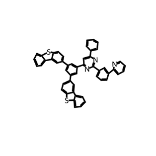 c1ccc(-c2cc(-c3cc(-c4ccc5sc6ccccc6c5c4)cc(-c4ccc5sc6ccccc6c5c4)c3)nc(-c3cccc(-c4ccccn4)c3)n2)cc1